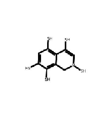 SC1=CN(S)Cc2c(S)c(S)cc(S)c21